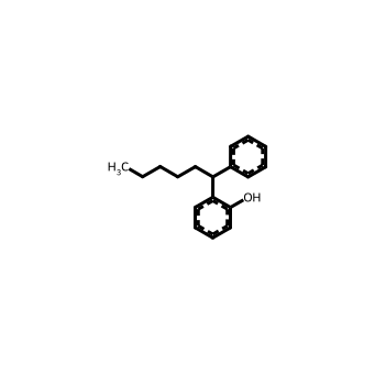 CCCCCC(c1ccccc1)c1ccccc1O